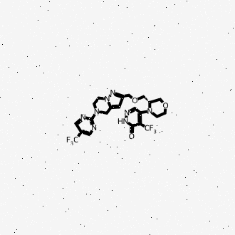 O=c1[nH]ncc(N2CCOC[C@@H]2COCc2cc3n(n2)CCN(c2ncc(C(F)(F)F)cn2)C3)c1C(F)(F)F